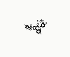 Cn1cnc(S(=O)(=O)N2CC(C(=O)Nc3ccc(F)c(OC(F)(F)F)c3)C(c3ccc(F)cc3)C2)c1